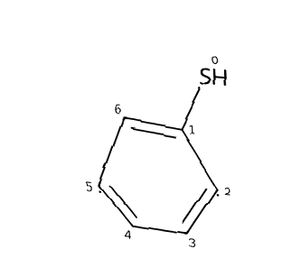 Sc1[c]cc[c]c1